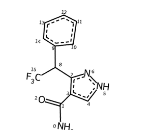 NC(=O)c1c[nH]nc1C(c1ccccc1)C(F)(F)F